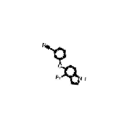 N#Cc1cccc(Oc2ccc3[nH]ccc3c2Br)c1